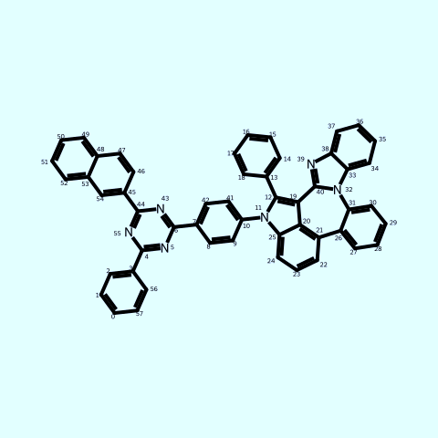 c1ccc(-c2nc(-c3ccc(-n4c(-c5ccccc5)c5c6c(cccc64)c4ccccc4n4c6ccccc6nc54)cc3)nc(-c3ccc4ccccc4c3)n2)cc1